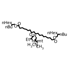 CCCCCCC(CCCC)COC(=O)CCCCCCCCC(CCCCCCCCC(=O)OCC(CCCC)CCCCCC)N(CCCN(C)C)C(=O)C(CC)CCCCC